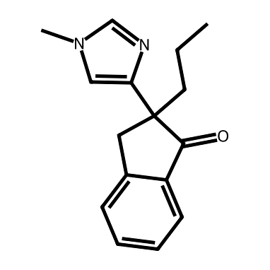 CCCC1(c2cn(C)cn2)Cc2ccccc2C1=O